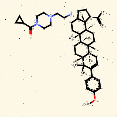 C=C(C)[C@@H]1CC[C@]2(NCCN3CCN(C(=O)C4CC4)CC3)CC[C@]3(C)[C@H](CC[C@@H]4[C@@]5(C)CC=C(c6ccc(OC=O)cc6)C(C)(C)[C@@H]5CC[C@]43C)[C@@H]12